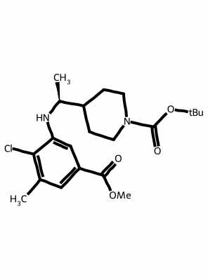 COC(=O)c1cc(C)c(Cl)c(N[C@@H](C)C2CCN(C(=O)OC(C)(C)C)CC2)c1